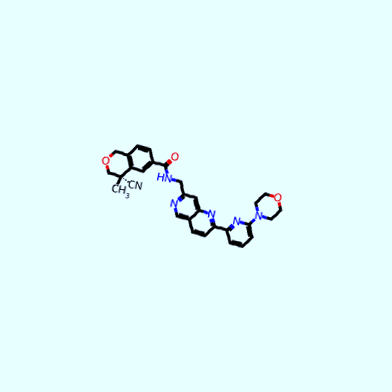 C[C@@]1(C#N)COCc2ccc(C(=O)NCc3cc4nc(-c5cccc(N6CCOCC6)n5)ccc4cn3)cc21